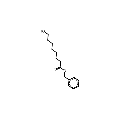 O=C(CCCCCCCO)OCc1ccccc1